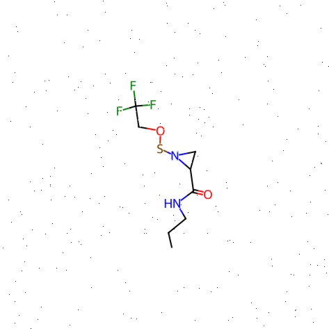 CCCNC(=O)C1CN1SOCC(F)(F)F